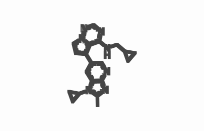 Cc1nc2ncc(-c3ccn4ncnc(NCC5CC5)c34)cc2n1C1CC1